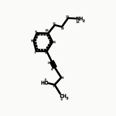 CC(O)CC#Cc1cccc(CCCN)c1